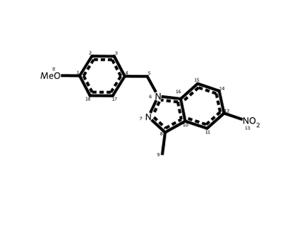 COc1ccc(Cn2nc(C)c3cc([N+](=O)[O-])ccc32)cc1